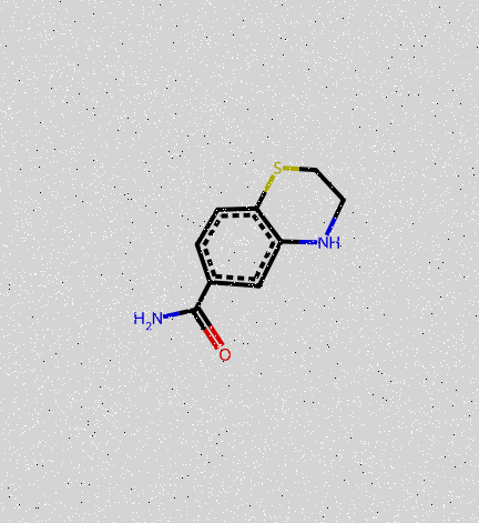 NC(=O)c1ccc2c(c1)NCCS2